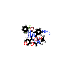 CC(C(=O)NC(C(=O)N1Cc2cc(N)ccc2[C@H]1C(=O)Nc1c(F)cccc1F)C1CCOCC1)N(C)C(=O)OC(C)(C)C